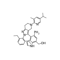 CCc1cccc(CC)c1-n1nc2c(c1-c1c(P)cc(CO)c3[nH]ccc13)CN(c1ncc(C(C)C)cc1C)CC2